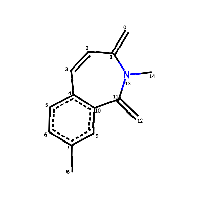 C=C1C=Cc2ccc(C)cc2C(=C)N1C